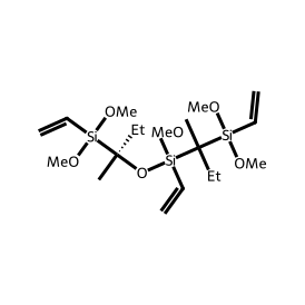 C=C[Si](OC)(OC)C(C)(CC)[Si](C=C)(OC)O[C@](C)(CC)[Si](C=C)(OC)OC